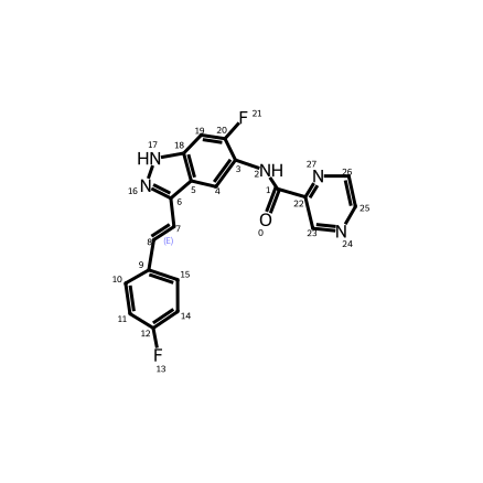 O=C(Nc1cc2c(/C=C/c3ccc(F)cc3)n[nH]c2cc1F)c1cnccn1